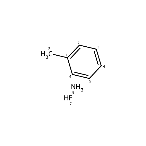 Cc1ccccc1.F.N